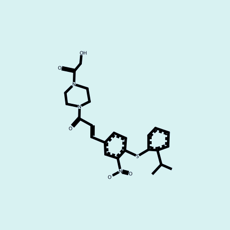 CC(C)c1ccccc1Sc1ccc(C=CC(=O)N2CCN(C(=O)CO)CC2)cc1[N+](=O)[O-]